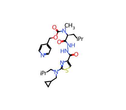 CC(C)C[C@@H](C(=O)NNC(=O)c1csc(N(CC(C)C)CC2CC2)n1)N(C)C(=O)OCc1ccncc1